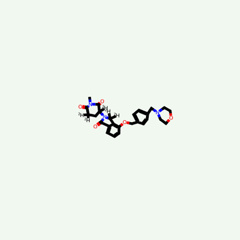 [2H]C1([2H])CC([2H])(N2C(=O)c3cccc(OCc4ccc(CN5CCOCC5)cc4)c3C2([2H])[2H])C(=O)N(C)C1=O